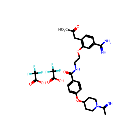 CC(=N)N1CCC(Oc2ccc(C(=O)NCCOc3cc(C(=N)N)ccc3CC(=O)C(=O)O)cc2)CC1.O=C(O)C(F)(F)F.O=C(O)C(F)(F)F